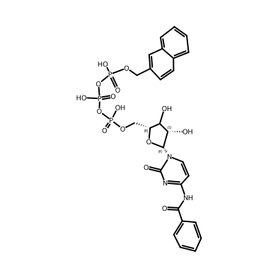 O=C(Nc1ccn([C@@H]2O[C@H](COP(=O)(O)OP(=O)(O)OP(=O)(O)OCc3ccc4ccccc4c3)C(O)[C@@H]2O)c(=O)n1)c1ccccc1